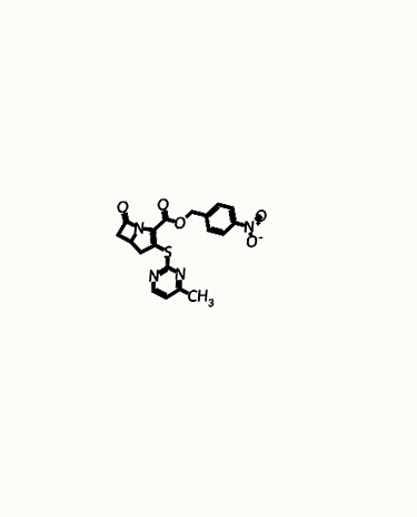 Cc1ccnc(SC2=C(C(=O)OCc3ccc([N+](=O)[O-])cc3)N3C(=O)CC3C2)n1